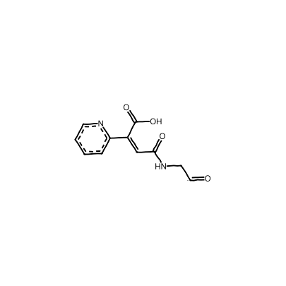 O=[C]CNC(=O)C=C(C(=O)O)c1ccccn1